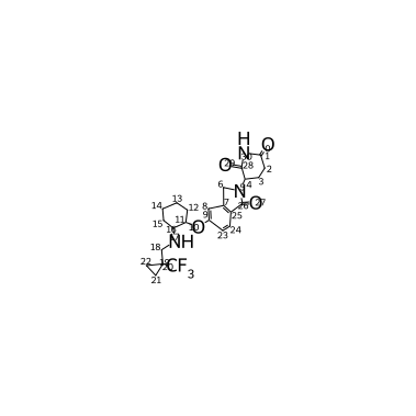 O=C1CCC(N2Cc3cc(OC4CCCCC4NCC4(C(F)(F)F)CC4)ccc3C2=O)C(=O)N1